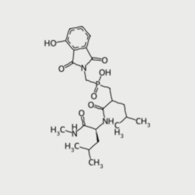 CNC(=O)[C@H](CC(C)C)NC(=O)C(CC(C)C)CP(=O)(O)CN1C(=O)c2cccc(O)c2C1=O